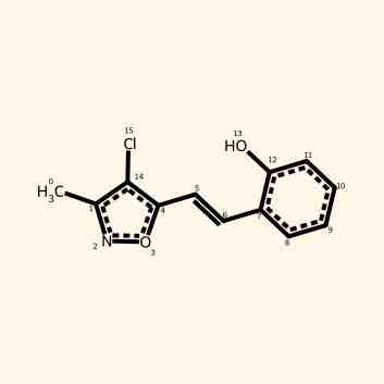 Cc1noc(/C=C/c2ccccc2O)c1Cl